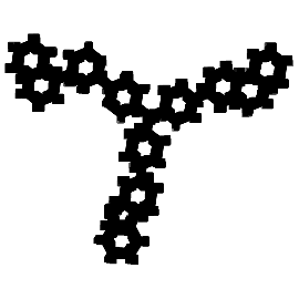 c1cc(-c2ccc(N(c3ccc(-c4ccc5c(ccc6ccccc65)c4)cc3)c3ccc(-c4ccc5c(c4)sc4ccccc45)cc3)cc2)cc(-c2cccc3ccccc23)c1